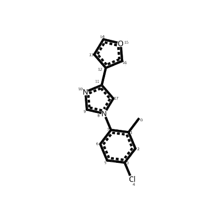 Cc1cc(Cl)ccc1-n1cnc(-c2ccoc2)c1